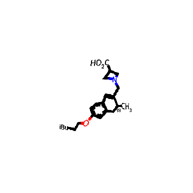 CCC(C)CCOc1ccc2c(c1)C[C@H](C)C(CN1CC(C(=O)O)C1)=C2